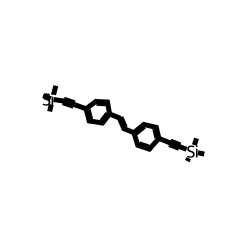 C[Si](C)(C)C#Cc1ccc(C=Cc2ccc(C#C[Si](C)(C)C)cc2)cc1